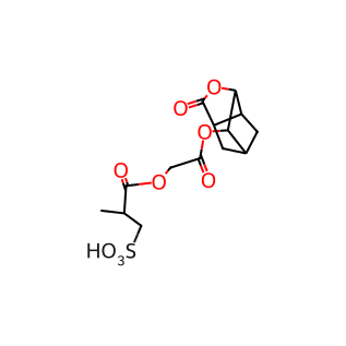 CC(CS(=O)(=O)O)C(=O)OCC(=O)OC1C2CC3C(=O)OC1C3C2